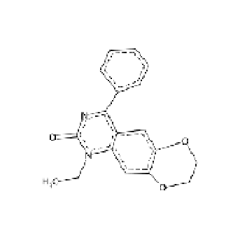 CCn1c(=O)nc(-c2ccccc2)c2cc3c(cc21)OCCO3